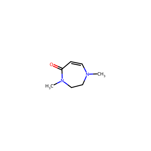 CN1C=CC(=O)N(C)CC1